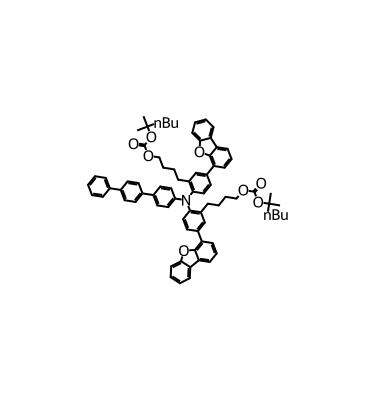 CCCCC(C)(C)OC(=O)OCCCCc1cc(-c2cccc3c2oc2ccccc23)ccc1N(c1ccc(-c2ccc(-c3ccccc3)cc2)cc1)c1ccc(-c2cccc3c2oc2ccccc23)cc1CCCCOC(=O)OC(C)(C)CCCC